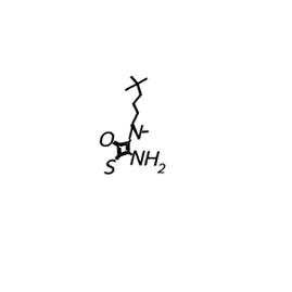 CN(CCCCC(C)(C)C)c1c(N)c(=S)c1=O